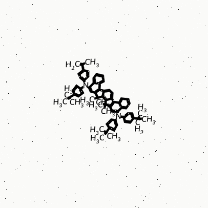 C=C(C)c1ccc(N(c2ccc(C(C)(C)C)cc2)c2cc3c(c4ccccc24)-c2ccc4c(c2C3(C)C)C(C)(C)c2cc(N(c3ccc(C(C)(C)C)cc3)c3ccc(C(C)(C)C)cc3)c3ccccc3c2-4)cc1